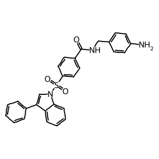 Nc1ccc(CNC(=O)c2ccc(S(=O)(=O)n3cc(-c4ccccc4)c4ccccc43)cc2)cc1